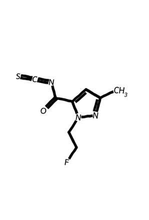 Cc1cc(C(=O)N=C=S)n(CCF)n1